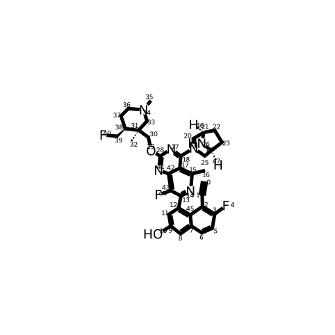 C#Cc1c(F)ccc2cc(O)cc(-c3nc(C)c4c(N5C[C@H]6CC[C@@H](C5)N6)nc(OC[C@]5(C)CN(C)CC[C@@H]5CF)nc4c3F)c12